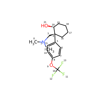 CN(C)C[C@]1(c2ccc(OC(F)(F)F)cc2)CCCC[C@@H]1O